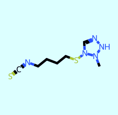 CN1NN=CN1SCCCCN=C=S